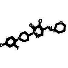 N#Cc1ccc(N2CCC(n3ncc(NC[C@@H]4CCCOC4)c(Cl)c3=O)CC2)c(F)c1